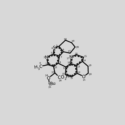 Cc1nc2sc3c(c2c(-c2ccc4c5c(ccnc25)CCO4)c1C(OC(C)(C)C)C(=O)O)CCCC3